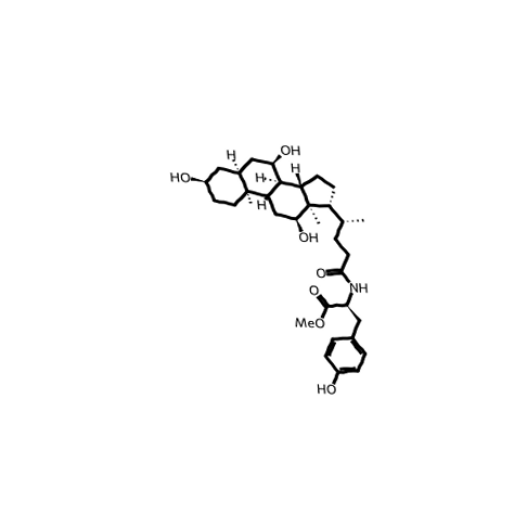 COC(=O)[C@H](Cc1ccc(O)cc1)NC(=O)CC[C@@H](C)[C@H]1CC[C@H]2[C@@H]3[C@H](O)C[C@@H]4C[C@H](O)CC[C@]4(C)[C@H]3C[C@H](O)[C@]12C